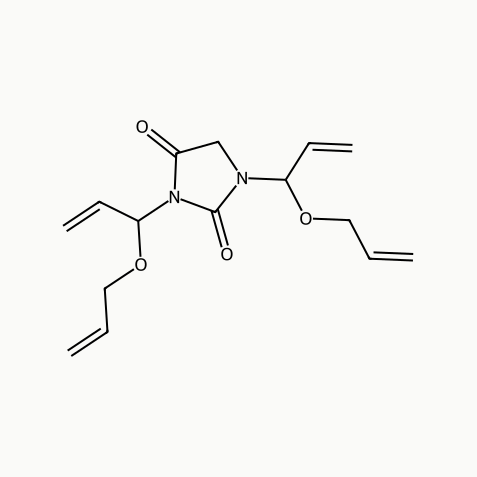 C=CCOC(C=C)N1CC(=O)N(C(C=C)OCC=C)C1=O